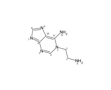 NCCn1cnc2ncnc-2c1N